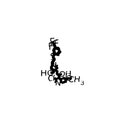 COc1ccc2ncc(Cl)c(C(O)CCC3(CO)CCN(CCSc4cccc(C(F)(F)F)c4)CC3)c2c1